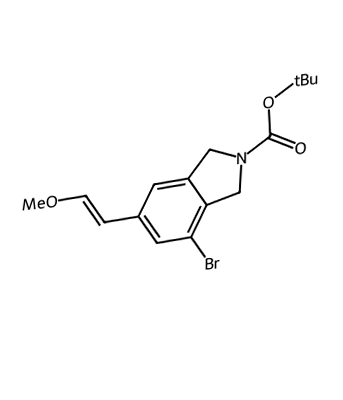 COC=Cc1cc(Br)c2c(c1)CN(C(=O)OC(C)(C)C)C2